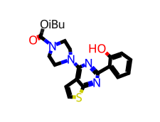 CC(C)COC(=O)N1CCN(c2nc(-c3ccccc3O)nc3sccc23)CC1